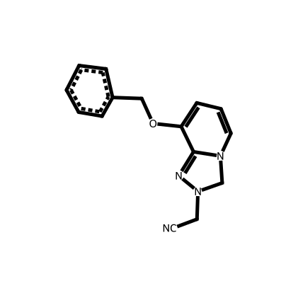 N#CCN1CN2C=CC=C(OCc3ccccc3)C2=N1